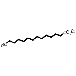 CCOC(=O)CCCCCCCCCCCCC(C)CC